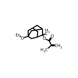 C=C(C)C(=O)OC1(C)C2CC3CC1CC(OCC)(C3)C2